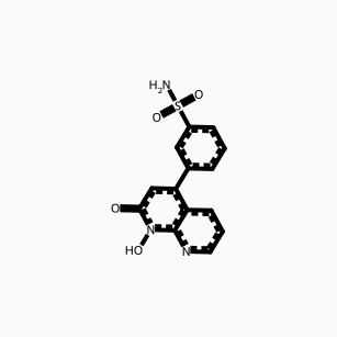 NS(=O)(=O)c1cccc(-c2cc(=O)n(O)c3ncccc23)c1